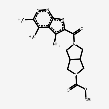 Cc1nnc2sc(C(=O)N3CC4CN(C(=O)OC(C)(C)C)CC4C3)c(N)c2c1C